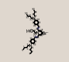 CCCCN(CCCC)c1ccc(/C=C/c2cccc(/C=C/c3ccc(N(CCCC)CCCC)cc3)[n+]2CCO)cc1.[Br-]